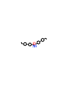 C=Cc1ccc(-c2ccc(-c3nnc(-c4ccc(-c5ccc(C=C)cc5)cc4)o3)cc2)cc1